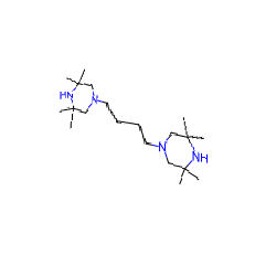 CC1(C)CN(CCCCN2CC(C)(C)NC(C)(C)C2)CC(C)(C)N1